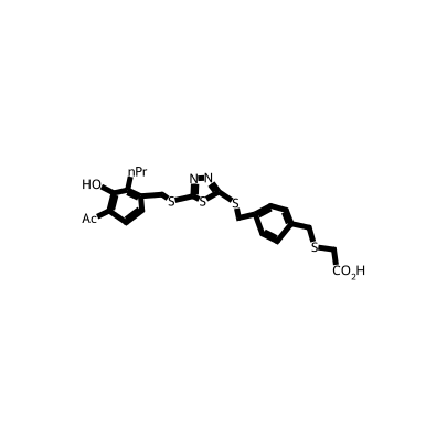 CCCc1c(CSc2nnc(SCc3ccc(CSCC(=O)O)cc3)s2)ccc(C(C)=O)c1O